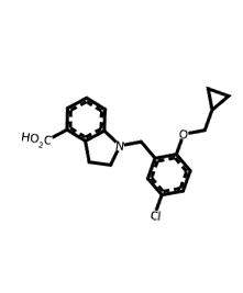 O=C(O)c1cccc2c1CCN2Cc1cc(Cl)ccc1OCC1CC1